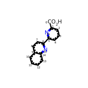 O=C(O)c1cccc(-c2ccc3ccccc3n2)n1